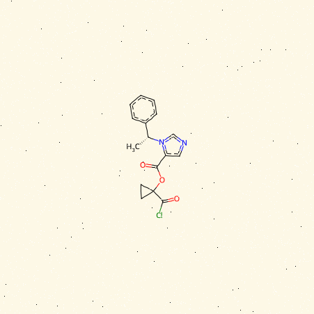 C[C@H](c1ccccc1)n1cncc1C(=O)OC1(C(=O)Cl)CC1